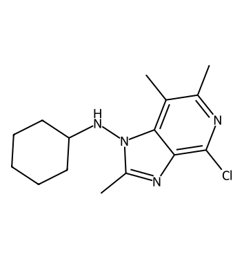 Cc1nc(Cl)c2nc(C)n(NC3CCCCC3)c2c1C